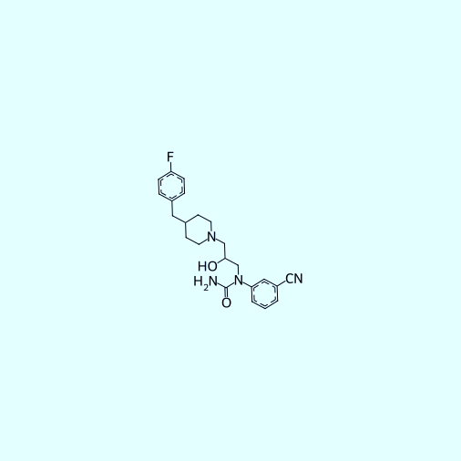 N#Cc1cccc(N(CC(O)CN2CCC(Cc3ccc(F)cc3)CC2)C(N)=O)c1